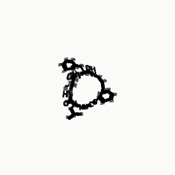 CC(C)C[C@@H]1NCCOc2ccccc2CCCNC(=O)[C@H](Cc2ccccc2)NC(=O)[C@@H](C)NC1=O